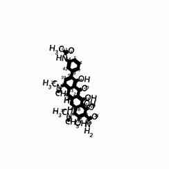 CC(=O)Nc1cccc(-c2cc(N(C)C)c3c(c2O)C(=O)C2=C(O)[C@@]4(O)C(=O)C(C(N)=O)=C(O)[C@H](N(C)C)[C@H]4C[C@H]2C3)c1